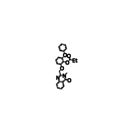 CCC(=O)Oc1c(OCc2nc3ccccc3c(=O)n2C)cccc1Oc1ccccc1